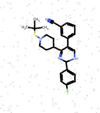 CC(C)(C)SN1CCC(C2=NC(c3ccc(F)cc3)NC=C2c2cccc(C#N)c2)CC1